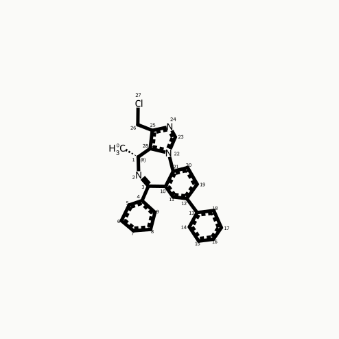 C[C@H]1N=C(c2ccccc2)c2cc(-c3ccccc3)ccc2-n2cnc(CCl)c21